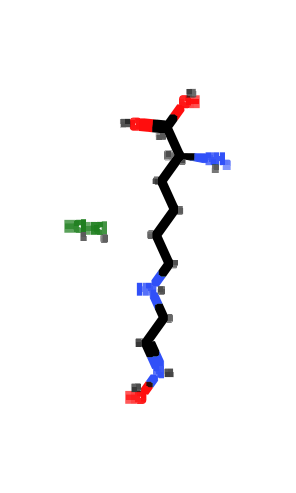 Cl.Cl.N[C@@H](CCCCNCC=NO)C(=O)O